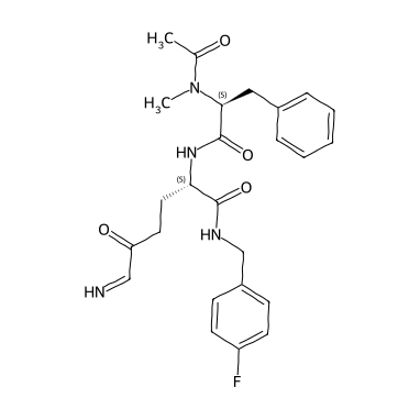 CC(=O)N(C)[C@@H](Cc1ccccc1)C(=O)N[C@@H](CCC(=O)C=N)C(=O)NCc1ccc(F)cc1